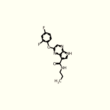 CCCNC(=O)c1c[nH]c2ncc(Oc3ccc(F)cc3F)nc12